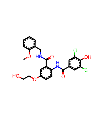 COc1ccccc1CNC(=O)c1cc(OCCO)ccc1NC(=O)c1cc(Cl)c(O)c(Cl)c1